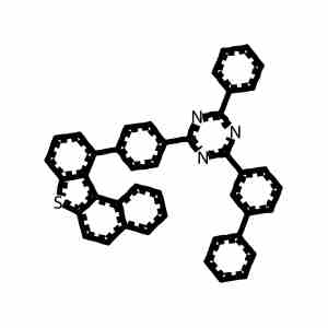 c1ccc(-c2cccc(-c3nc(-c4ccccc4)nc(-c4ccc(-c5cccc6sc7ccc8ccccc8c7c56)cc4)n3)c2)cc1